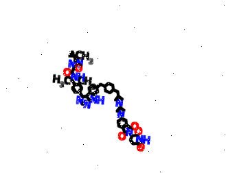 Cc1cc(-c2ncnc3[nH]c4cc(CC5CCC(CC6CN(C7CN(c8ccc9c(c8)C(=O)N(C8CCC(=O)NC8=O)C9=O)C7)C6)CC5)ccc4c23)ccc1[C@@H](C)NC(=O)c1nc(C2(C)CC2)no1